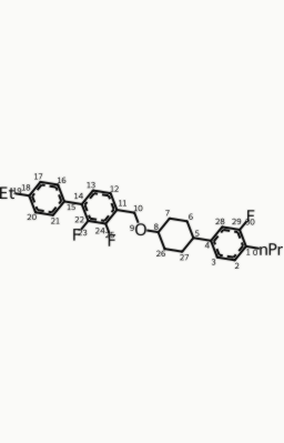 CCCc1ccc(C2CCC(OCc3ccc(-c4ccc(CC)cc4)c(F)c3F)CC2)cc1F